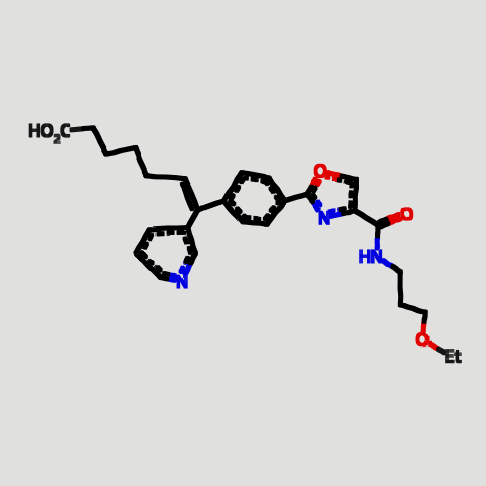 CCOCCCNC(=O)c1coc(-c2ccc(C(=CCCCCC(=O)O)c3cccnc3)cc2)n1